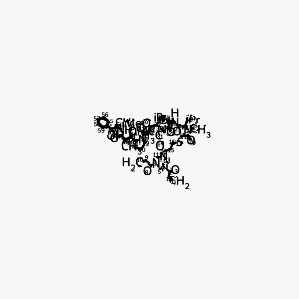 C=CC(=O)N1CN(C(=O)C=C)CN(C(=O)CCSCC(=O)N(C)C(C(=O)N[C@H](C(=O)N(C)C([C@H](C)CC)[C@@H](CC(=O)N2CCC[C@H]2[C@H](OC)[C@@H](C)C(=O)N[C@H](C)[C@@H](O)c2ccccc2)OC)C(C)C)C(C)C)C1